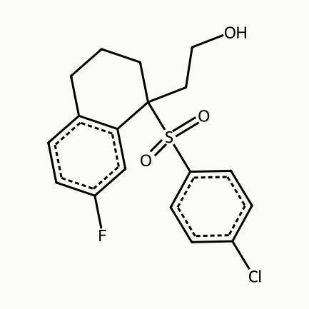 O=S(=O)(c1ccc(Cl)cc1)C1(CCO)CCCc2ccc(F)cc21